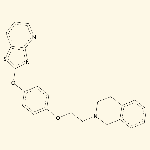 c1ccc2c(c1)CCN(CCOc1ccc(Oc3nc4ncccc4s3)cc1)C2